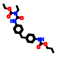 CCCOC(=O)Nc1ccc(Cc2ccc(NC(=O)N(CC)C(=O)OCC)cc2)cc1